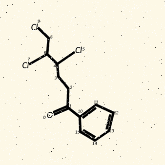 O=C(CCC(Cl)C(Cl)CCl)c1ccccc1